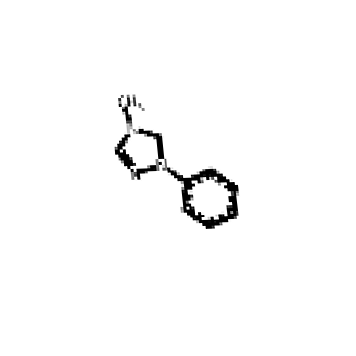 CN1C=NN(c2ccccc2)C1